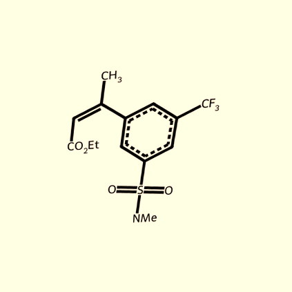 CCOC(=O)/C=C(/C)c1cc(C(F)(F)F)cc(S(=O)(=O)NC)c1